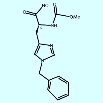 COC(=O)N[C@@H](Cc1cn(Cc2ccccc2)cn1)C(=O)N=O